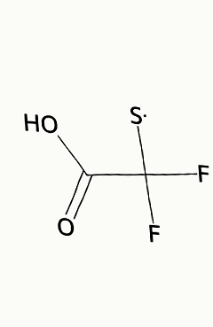 O=C(O)C(F)(F)[S]